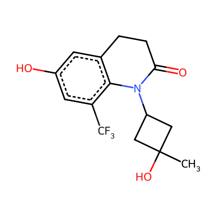 CC1(O)CC(N2C(=O)CCc3cc(O)cc(C(F)(F)F)c32)C1